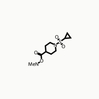 CNOC(=O)C1CCN(S(=O)(=O)C2CC2)CC1